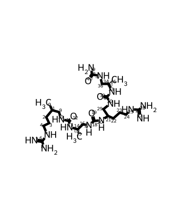 CC(CCCNC(=N)N)CNC(=O)N[C@@H](C)CNC(=O)NC(CCCNC(=N)N)CNC(=O)N[C@@H](C)CNC(N)=O